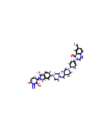 [2H]c1ccc2ncn(-c3ccc(N4CCC(CN5CCN(c6ccc7c(c6)CN(C6CCC(=O)NC6=O)C7=O)CC5)CC4)cc3)c(=O)c2c1